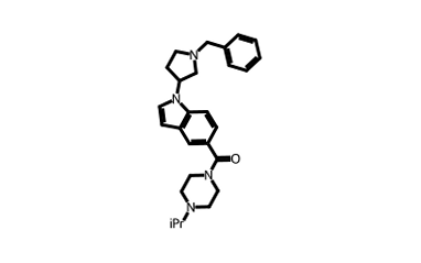 CC(C)N1CCN(C(=O)c2ccc3c(ccn3C3CCN(Cc4ccccc4)C3)c2)CC1